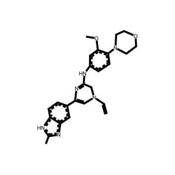 C=CN1C=C(c2ccc3[nH]c(C)nc3c2)N=C(Nc2ccc(N3CCOCC3)c(OC)c2)C1